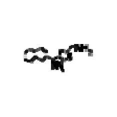 Cn1nc(-c2ccc3ccccc3c2)c2cc(CN)sc21